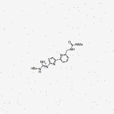 CCCCN/C(N)=N/c1nc(-c2cccc(CNC(=O)NC)n2)cs1